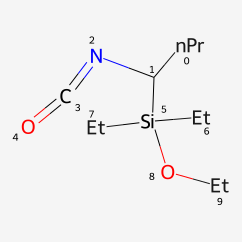 CCCC(N=C=O)[Si](CC)(CC)OCC